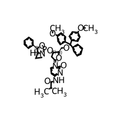 COc1ccc(C(OC[C@H]2O[C@@H](n3ccc(NC(=O)C(C)C)nc3=O)C[C@@H]2OP2O[C@H](c3ccccc3)[C@@H]3CCN32)(c2ccccc2)c2ccc(OC)cc2)cc1